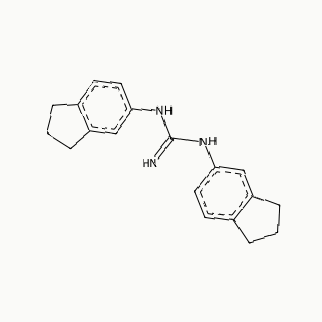 N=C(Nc1ccc2c(c1)CCC2)Nc1ccc2c(c1)CCC2